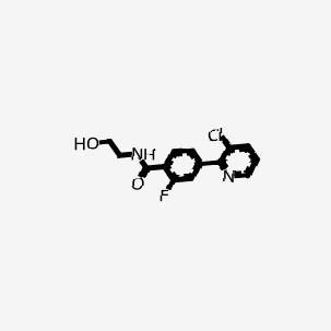 O=C(NCCO)c1ccc(-c2ncccc2Cl)cc1F